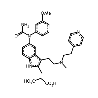 COc1cccc(N(C(N)=O)c2ccc3[nH]c(C)c(CCN(C)CCc4ccncc4)c3c2)c1.O=C(O)CC(=O)O